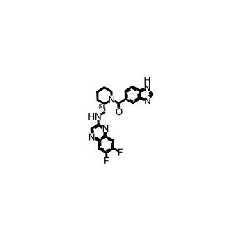 O=C(c1ccc2[nH]cnc2c1)N1CCCC[C@H]1CNc1cnc2cc(F)c(F)cc2n1